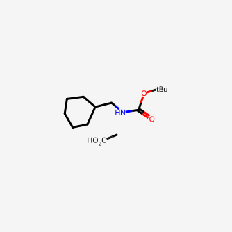 CC(=O)O.CC(C)(C)OC(=O)NCC1CCCCC1